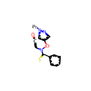 CC(C)n1cc(ON(C=C=O)C(=S)c2ccccc2)cn1